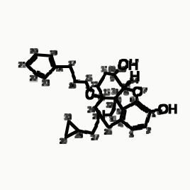 Oc1ccc2c3c1O[C@H]1[C@H](O)CC[C@@]4(OCCCc5ccccc5)C(C2)N(CC2CC2)CC[C@]314